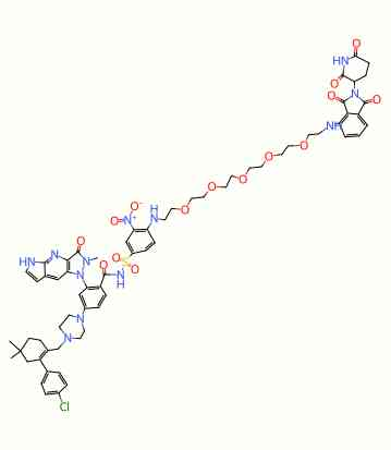 Cn1c(=O)c2nc3[nH]ccc3cc2n1-c1cc(N2CCN(CC3=C(c4ccc(Cl)cc4)CC(C)(C)CC3)CC2)ccc1C(=O)NS(=O)(=O)c1ccc(NCCOCCOCCOCCOCCOCCNc2cccc3c2C(=O)N(C2CCC(=O)NC2=O)C3=O)c([N+](=O)[O-])c1